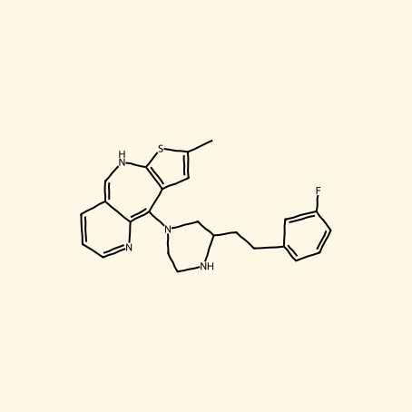 Cc1cc2c(s1)NC=c1cccnc1=C2N1CCNC(CCc2cccc(F)c2)C1